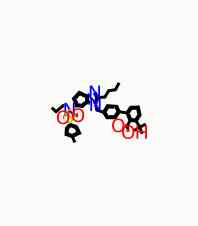 CCCCc1nc2ccc(N(CCC)S(=O)(=O)c3ccc(C)cc3)cc2n1Cc1ccc(-c2cccc(C(C)(C)C)c2C(=O)O)cc1